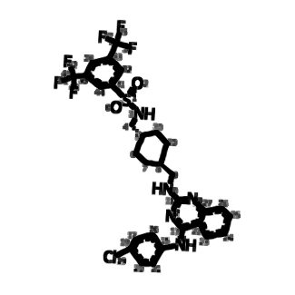 O=S(=O)(NC[C@H]1CC[C@H](CNc2nc(Nc3ccc(Cl)cc3)c3ccccc3n2)CC1)c1cc(C(F)(F)F)cc(C(F)(F)F)c1